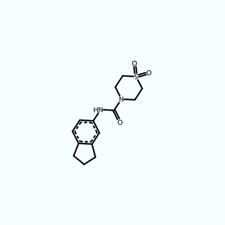 O=C(Nc1ccc2c(c1)CCC2)N1CCS(=O)(=O)CC1